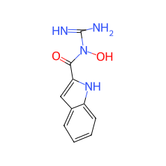 N=C(N)N(O)C(=O)c1cc2ccccc2[nH]1